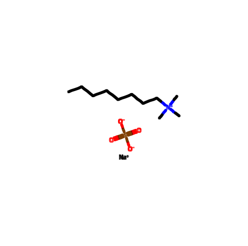 CCCCCCCC[N+](C)(C)C.O=S(=O)([O-])[O-].[Na+]